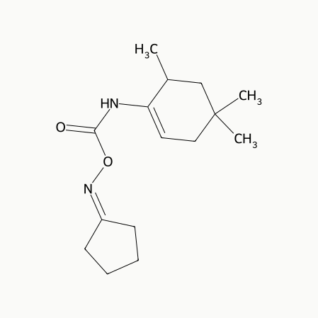 CC1CC(C)(C)CC=C1NC(=O)ON=C1CCCC1